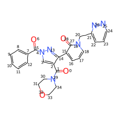 O=C(c1cn(C(=O)c2ccccc2)nc1-c1cccn(Cc2cccnn2)c1=O)N1CCOCC1